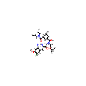 CCCN(CCC)C(=O)c1cc(C)cc(C(=O)N(CCC(C)C)C[C@@H](O)[C@@H](N)Cc2ccc(OC)c(F)c2)c1